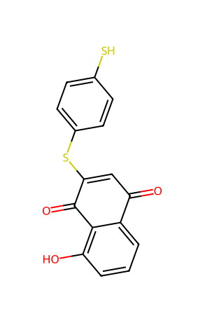 O=C1C=C(Sc2ccc(S)cc2)C(=O)c2c(O)cccc21